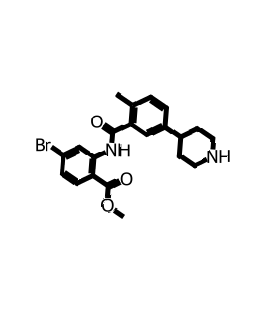 COC(=O)c1ccc(Br)cc1NC(=O)c1cc(C2CCNCC2)ccc1C